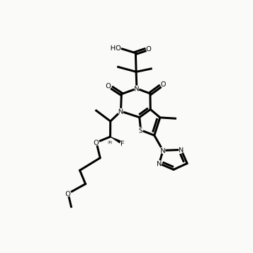 COCCCO[C@H](F)C(C)n1c(=O)n(C(C)(C)C(=O)O)c(=O)c2c(C)c(-n3nccn3)sc21